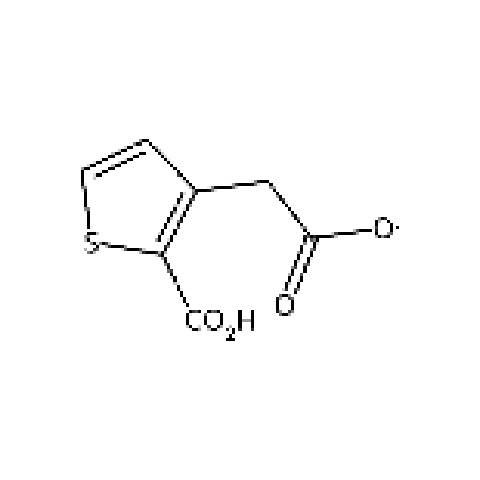 [O]C(=O)Cc1ccsc1C(=O)O